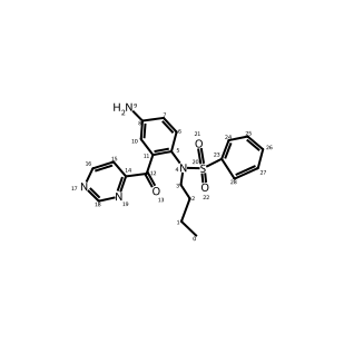 CCCCN(c1ccc(N)cc1C(=O)c1ccncn1)S(=O)(=O)c1ccccc1